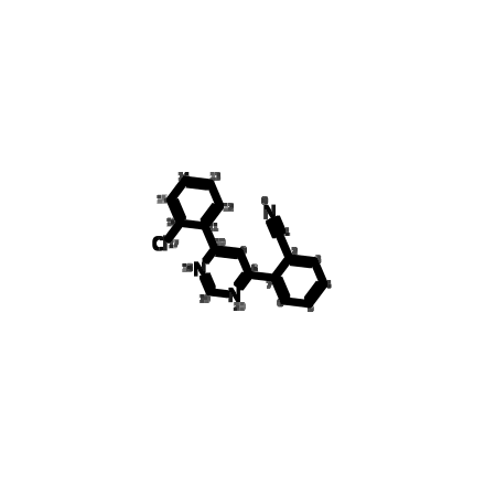 N#Cc1ccccc1-c1cc(-c2ccccc2Cl)ncn1